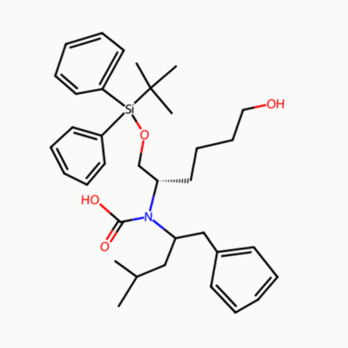 CC(C)CC(Cc1ccccc1)N(C(=O)O)[C@@H](CCCCO)CO[Si](c1ccccc1)(c1ccccc1)C(C)(C)C